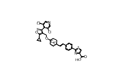 O=C(O)c1csc(-c2ccc(C=CC34CCC(OCc5c(-c6c(Cl)cncc6Cl)noc5C5CC5)(CC3)CC4)cc2)n1